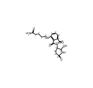 NC(=O)CCCCNc1cccc2c1C(=O)N(C1CCC(=O)NC1O)C2=O